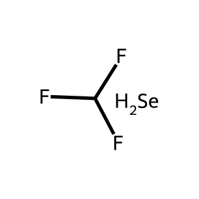 FC(F)F.[SeH2]